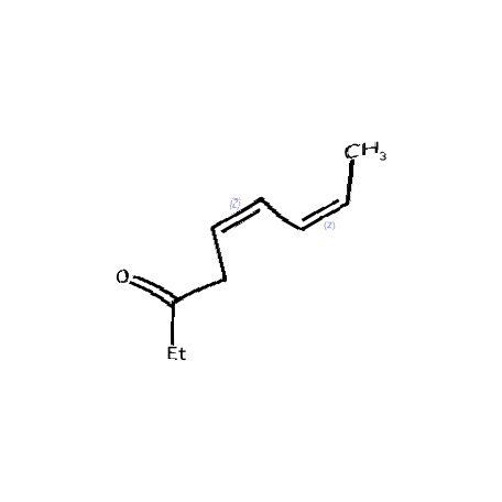 C/C=C\C=C/CC(=O)CC